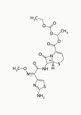 CCOC(=O)OC(C)OC(=O)C1=CCS[C@@H]2C(NC(=O)/C(=N\OC)c3csc(N)n3)C(=O)N12